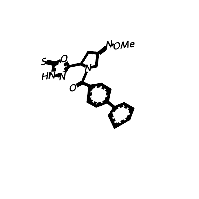 CON=C1CC(c2n[nH]c(=S)o2)N(C(=O)c2ccc(-c3ccccc3)cc2)C1